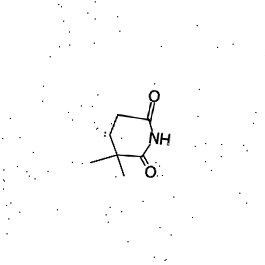 CC1(C)[C]CC(=O)NC1=O